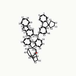 c1ccc2c(c1)-c1cc(N(c3ccc4sc5ccccc5c4c3)c3cccc4c3-c3ccccc3C43C4CCC5CC3C3CC(C4)C53)ccc1C21CCCC1